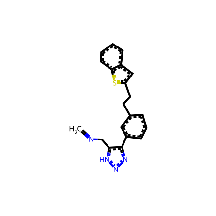 C=NCc1[nH]nnc1-c1cccc(CCc2cc3ccccc3s2)c1